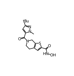 Cn1nc(C(C)(C)C)cc1C(=O)N1CCc2cc(C(=O)NO)sc2C1